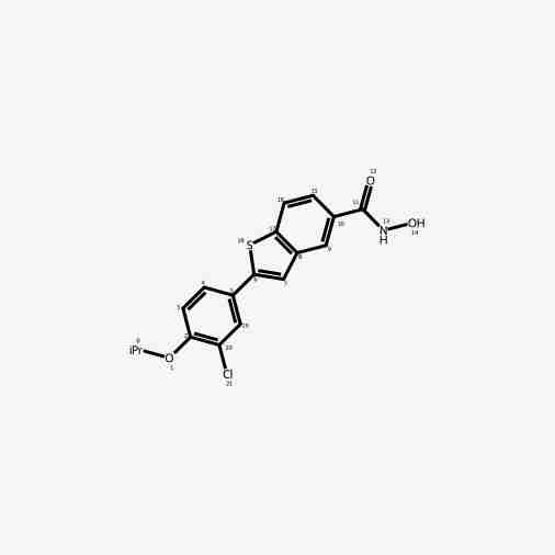 CC(C)Oc1ccc(-c2cc3cc(C(=O)NO)ccc3s2)cc1Cl